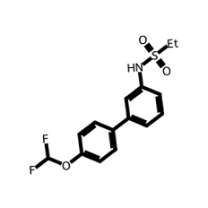 CCS(=O)(=O)Nc1cccc(-c2ccc(OC(F)F)cc2)c1